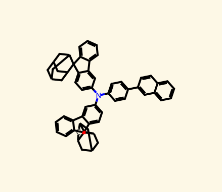 c1ccc2c(c1)-c1cc(N(c3ccc(-c4ccc5ccccc5c4)cc3)c3ccc4c(c3)-c3ccccc3C43C4CC5CC(C4)CC3C5)ccc1C21C2CC3CC(C2)CC1C3